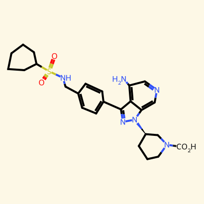 Nc1cncc2c1c(-c1ccc(CNS(=O)(=O)C3CCCCC3)cc1)nn2[C@@H]1CCCN(C(=O)O)C1